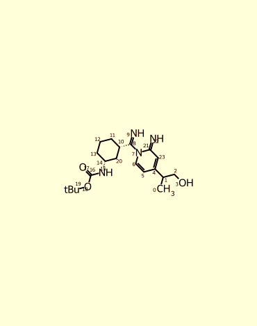 CC(CO)c1ccn(C(=N)[C@H]2CCC[C@@H](NC(=O)OC(C)(C)C)C2)c(=N)c1